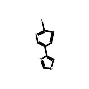 Fc1ccc(C2=C[N]C=N2)cn1